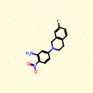 Nc1cc(N2CCc3ccc(F)cc3C2)ccc1[N+](=O)[O-]